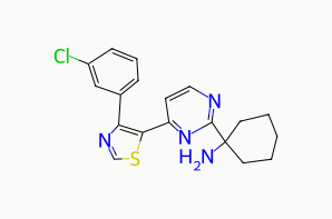 NC1(c2nccc(-c3scnc3-c3cccc(Cl)c3)n2)CCCCC1